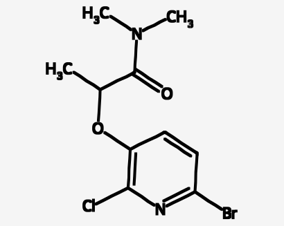 CC(Oc1ccc(Br)nc1Cl)C(=O)N(C)C